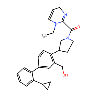 CCN1C=CCN=C1C(=O)N1CCC(c2ccc(-c3ccccc3C3CC3)cc2CO)C1